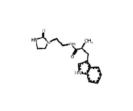 CC(Cc1c[nH]c2ccccc12)C(=O)NCCN1CCNC1=O